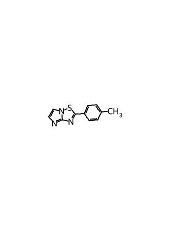 Cc1ccc(-c2nc3nccn3s2)cc1